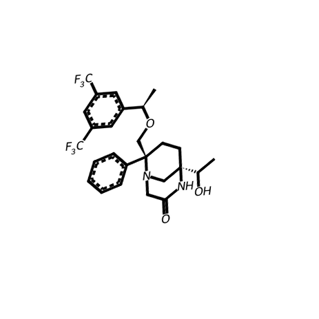 CC(O)[C@]12CC[C@@](CO[C@H](C)c3cc(C(F)(F)F)cc(C(F)(F)F)c3)(c3ccccc3)N(CC(=O)N1)C2